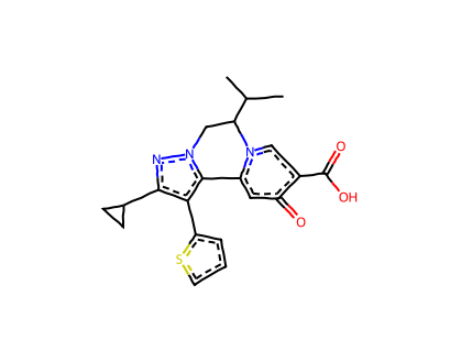 CC(C)C1Cn2nc(C3CC3)c(-c3cccs3)c2-c2cc(=O)c(C(=O)O)cn21